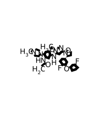 C=CC(=O)Nc1cc(Nc2cc(N3OCC[C@@H]3c3ccc(F)c(Oc4cccc(F)c4)c3)ncn2)c(OC)cc1N1CCN(C)CC1